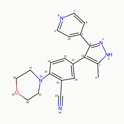 Cc1[nH]nc(-c2ccncc2)c1-c1ccc(N2CCOCC2)c(C#N)c1